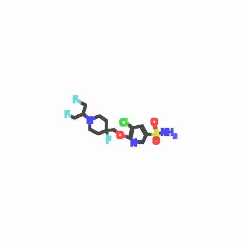 NS(=O)(=O)c1cnc(OCC2(F)CCN(C(CF)CF)CC2)c(Cl)c1